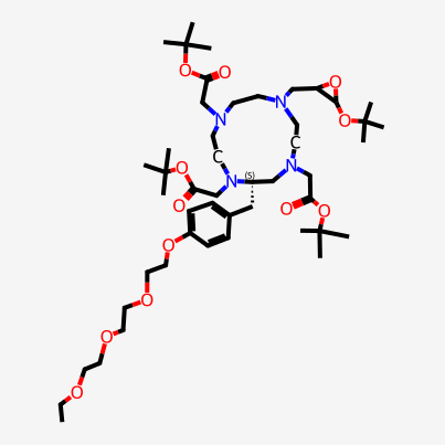 CCOCCOCCOCCOc1ccc(C[C@H]2CN(CC(=O)OC(C)(C)C)CCN(CC3OC3OC(C)(C)C)CCN(CC(=O)OC(C)(C)C)CCN2CC(=O)OC(C)(C)C)cc1